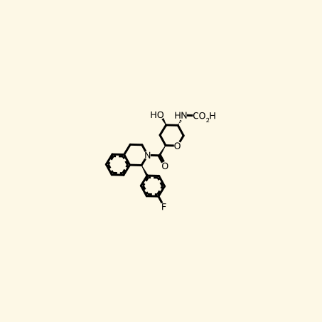 O=C(O)N[C@@H]1CO[C@@H](C(=O)N2CCc3ccccc3[C@@H]2c2ccc(F)cc2)C[C@H]1O